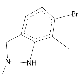 Cc1c(Br)ccc2c1NN(C)C2